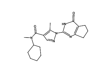 Cc1c(C(=O)N(C)C2CCCCC2)cnn1-c1nc2c(c(=O)[nH]1)CCC2